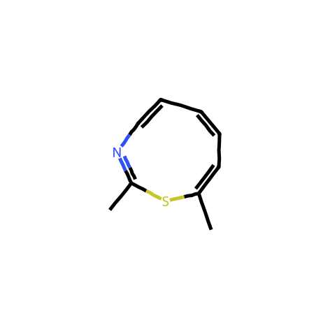 Cc1cccccnc(C)s1